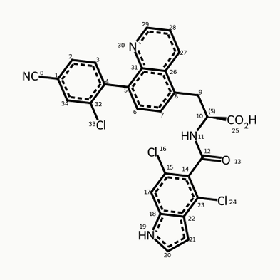 N#Cc1ccc(-c2ccc(C[C@H](NC(=O)c3c(Cl)cc4[nH]ccc4c3Cl)C(=O)O)c3cccnc23)c(Cl)c1